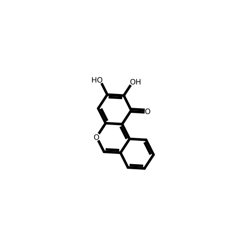 O=c1c(O)c(O)cc2occ3ccccc3c1-2